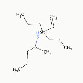 C=C[Si](CCC)(CCC)NC(C)CCC